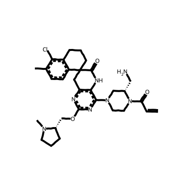 C=CC(=O)N1CCN(c2nc(OC[C@@H]3CCCN3C)nc3c2NC(=O)C2(CCCc4c2ccc(C)c4Cl)C3)C[C@@H]1CN